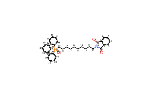 O=C1c2ccccc2C(=O)N1CCCCCCCCCCP(Br)(c1ccccc1)(c1ccccc1)c1ccccc1